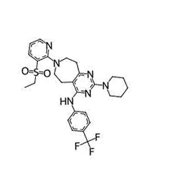 CCS(=O)(=O)c1cccnc1N1CCc2nc(N3CCCCC3)nc(Nc3ccc(C(F)(F)F)cc3)c2CC1